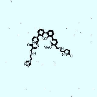 COc1nc(-c2cccc(-c3cccc(-c4ccn5c(=O)c(CNCCn6cnnc6)cnc5c4)c3Cl)c2Cl)ccc1CNCC1CCC(=O)N1